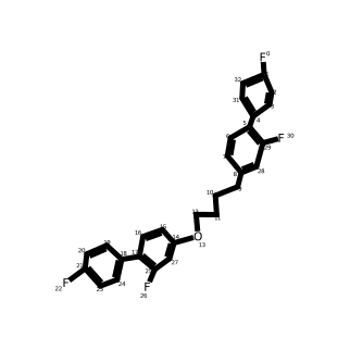 Fc1ccc(-c2ccc(CCCCOc3ccc(-c4ccc(F)cc4)c(F)c3)cc2F)cc1